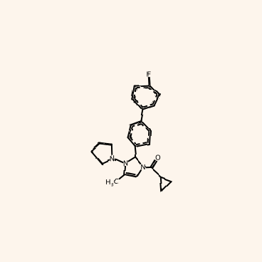 CC1=CN(C(=O)C2CC2)C(c2ccc(-c3ccc(F)cc3)cc2)N1N1CCCC1